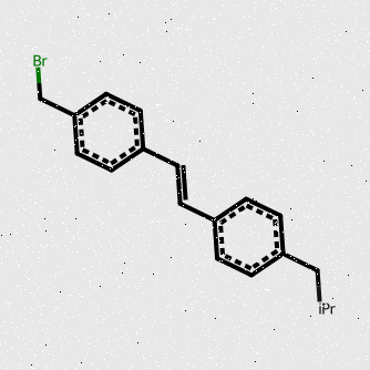 CC(C)Cc1ccc(C=Cc2ccc(CBr)cc2)cc1